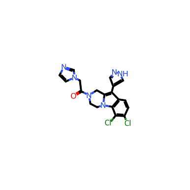 O=C(Cn1ccnc1)N1CCn2c(c(-c3cn[nH]c3)c3ccc(Cl)c(Cl)c32)C1